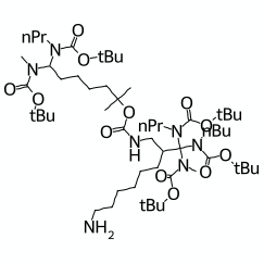 CCCCN(C(=O)OC(C)(C)C)C(C(CCCCCCN)CNC(=O)OC(C)(C)CCCCC(N(C)C(=O)OC(C)(C)C)N(CCC)C(=O)OC(C)(C)C)(N(C)C(=O)OC(C)(C)C)N(CCC)C(=O)OC(C)(C)C